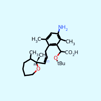 Cc1cc(N)c(C)c(C(OC(C)(C)C)C(=O)O)c1C/C=C\[C@]1(C)OCCCCC1C